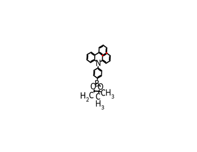 C=C1OB(c2ccc(N(c3ccccc3)c3ccccc3-c3ccccc3)cc2)OC1(C)C